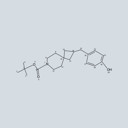 CC(C)(C)OC(=O)N1CCC2(CC1)CC(Cc1ccc(O)cc1)C2